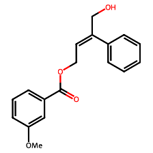 COc1cccc(C(=O)OCC=C(CO)c2ccccc2)c1